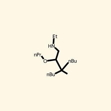 CCCCC(C)(CCCC)C(CNCC)OCCC